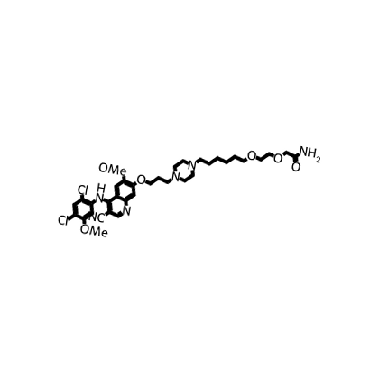 COc1cc(Nc2c(C#N)cnc3cc(OCCCN4CCN(CCCCCCOCCOCC(N)=O)CC4)c(OC)cc23)c(Cl)cc1Cl